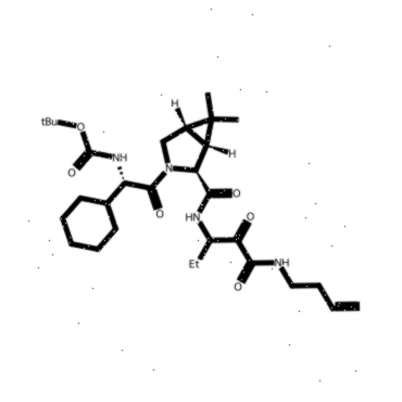 C=CCCNC(=O)C(=O)C(CC)NC(=O)[C@@H]1[C@@H]2[C@H](CN1C(=O)[C@@H](NC(=O)OC(C)(C)C)C1CCCCC1)C2(C)C